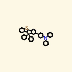 c1ccc(N(c2ccccc2)c2ccc(-c3ccc4c(c3)C(c3ccccc3)(c3ccccc3)c3c-4sc4ccccc34)cc2)cc1